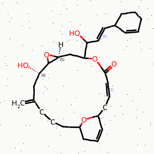 C=C1CCCC2CC=CC(C/C=C\C(=O)OC(C(O)/C=C/C3C=CCCC3)C[C@@H]3OC3[C@@H](O)C1)O2